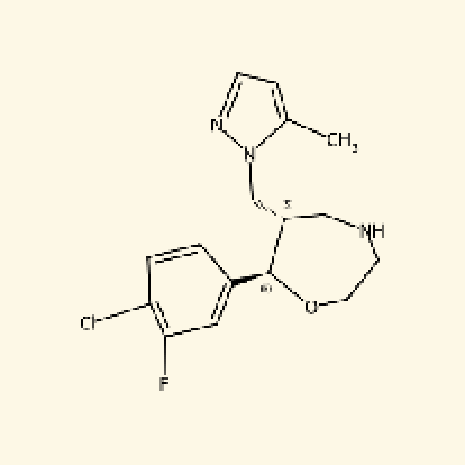 Cc1ccnn1C[C@@H]1CNCCO[C@H]1c1ccc(Cl)c(F)c1